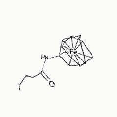 O=C(CI)N[C]12[CH]3[CH]4[CH]5[CH]1[Fe]45321678[CH]2[CH]1[CH]6[CH]7[CH]28